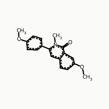 COc1ccc(-c2cc3ccc(OC)cc3c(=O)n2C)cc1